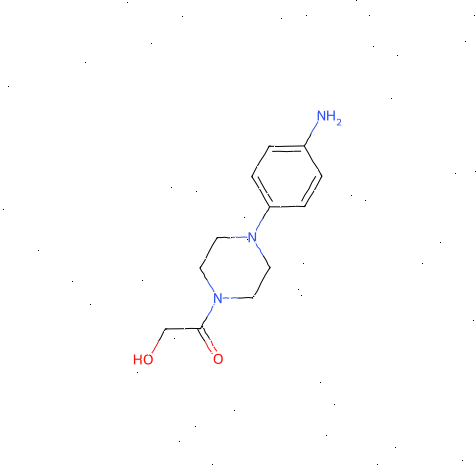 Nc1ccc(N2CCN(C(=O)CO)CC2)cc1